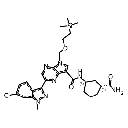 Cn1nc(-c2cnc3c(n2)c(C(=O)N[C@@H]2CCC[C@@H](C(N)=O)C2)cn3COCC[Si](C)(C)C)c2ccc(Cl)cc21